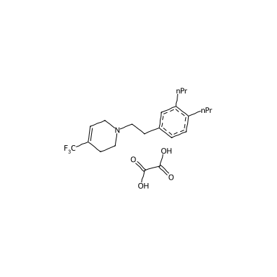 CCCc1ccc(CCN2CC=C(C(F)(F)F)CC2)cc1CCC.O=C(O)C(=O)O